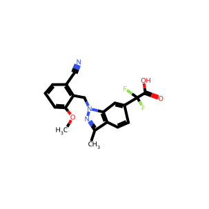 COc1cccc(C#N)c1Cn1nc(C)c2ccc(C(F)(F)C(=O)O)cc21